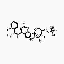 C[C@H](Nc1nc(Cl)nn2c([C@@]34OCC(OCP(=O)(O)O)[C@H](O3)[C@@H](O)[C@H]4O)ccc12)c1ccccc1F